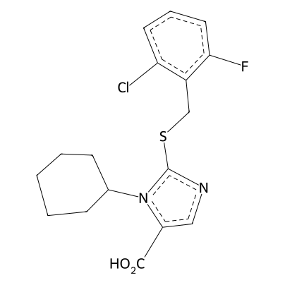 O=C(O)c1cnc(SCc2c(F)cccc2Cl)n1C1CCCCC1